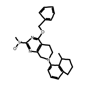 CC1CCCc2cccc(N3CCc4c(nc([S+](C)[O-])nc4OCc4ccccc4)C3)c21